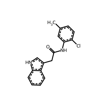 Cc1ccc(Cl)c(NC(=O)Cc2c[nH]c3ccccc23)c1